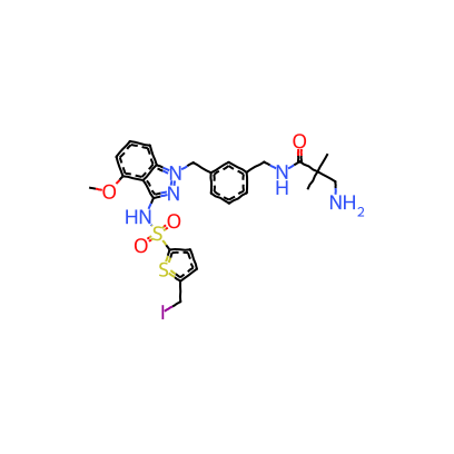 COc1cccc2c1c(NS(=O)(=O)c1ccc(CI)s1)nn2Cc1cccc(CNC(=O)C(C)(C)CN)c1